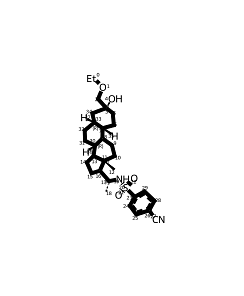 CCOC[C@@]1(O)CC[C@@H]2C3CC[C@@]4(C)C(CCC4[C@@H](C)NS(=O)(=O)c4ccc(C#N)cc4)[C@@H]3CC[C@@H]2C1